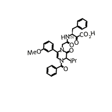 COc1cccc(C2=CN(C(=O)c3ccccc3)C(C(C)C)C(=O)N2CC(=O)N[C@@H](Cc2ccccc2)C(=O)C(=O)O)c1